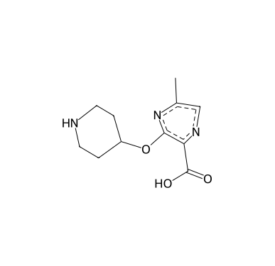 Cc1cnc(C(=O)O)c(OC2CCNCC2)n1